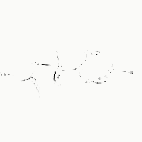 CCCCC(=O)NS(=O)(=O)c1ccc(N)cc1